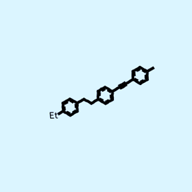 CCc1ccc(CCc2ccc(C#Cc3ccc(C)cc3)cc2)cc1